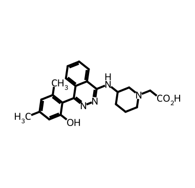 Cc1cc(C)c(-c2nnc(NC3CCCN(CC(=O)O)C3)c3ccccc23)c(O)c1